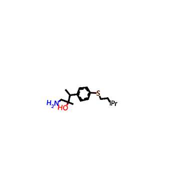 CC(C)CCSc1ccc(C(C)C(C)(O)CN)cc1